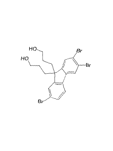 OCCCC1(CCCO)c2cc(Br)ccc2-c2cc(Br)c(Br)cc21